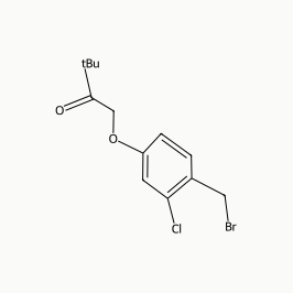 CC(C)(C)C(=O)COc1ccc(CBr)c(Cl)c1